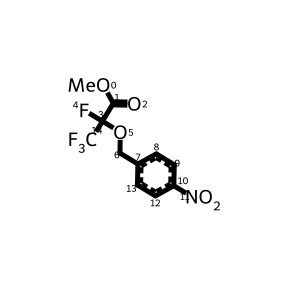 COC(=O)C(F)(OCc1ccc([N+](=O)[O-])cc1)C(F)(F)F